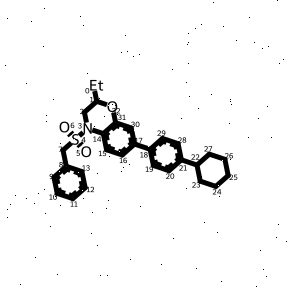 CCC1CN(S(=O)(=O)Cc2ccccc2)c2ccc(-c3ccc(C4CCCCC4)cc3)cc2O1